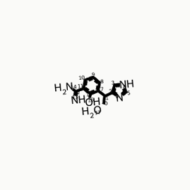 CC(c1c[nH]cn1)c1cccc(C(=N)N)c1O.O